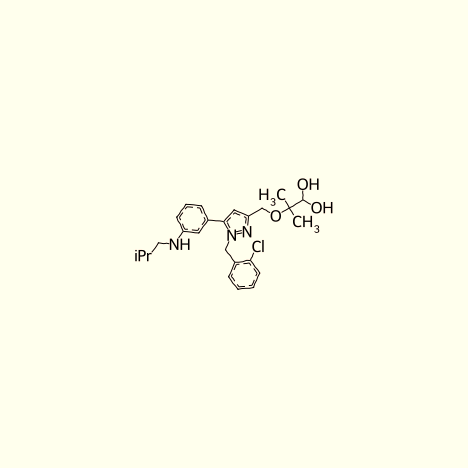 CC(C)CNc1cccc(-c2cc(COC(C)(C)C(O)O)nn2Cc2ccccc2Cl)c1